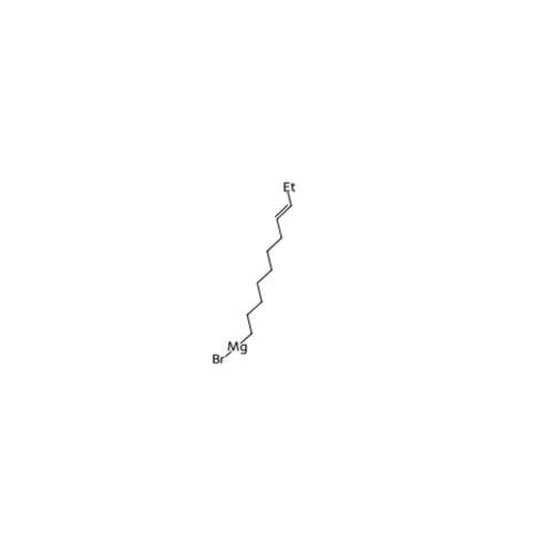 CC/C=C/CCCCCC[CH2][Mg][Br]